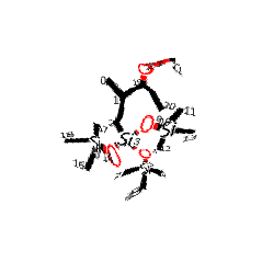 [CH2]C(C[Si](O[Si](C)(C)C)(O[Si](C)(C)C)O[Si](C)(C)C)C(C)OC